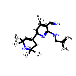 C=C(C)CNc1nc(C2=CC(C)(C)NC(C)(C)C2)cc(C)c1C=N